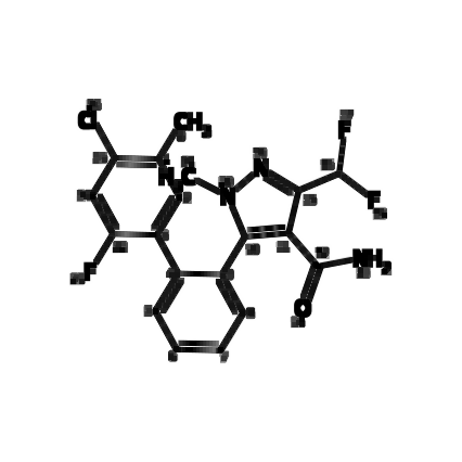 Cc1cc(-c2ccccc2-c2c(C(N)=O)c(C(F)F)nn2C)c(F)cc1Cl